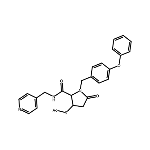 CC(=O)SC1CC(=O)N(Cc2ccc(Oc3ccccc3)cc2)C1C(=O)NCc1ccncc1